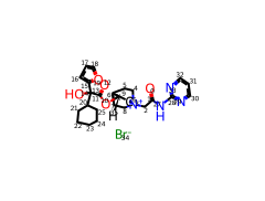 O=C(C[N+]12CCC(CC1)[C@@H](OC(=O)C(O)(c1ccco1)C1CCCCC1)C2)Nc1ncccn1.[Br-]